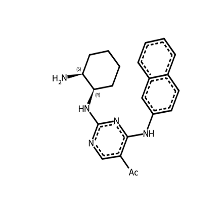 CC(=O)c1cnc(N[C@@H]2CCCC[C@@H]2N)nc1Nc1ccc2ccccc2c1